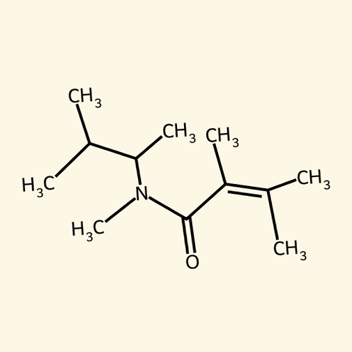 CC(C)=C(C)C(=O)N(C)C(C)C(C)C